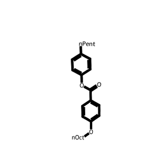 CCCCCCCCOc1ccc(C(=O)Oc2ccc(CCCCC)cc2)cc1